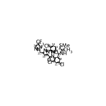 CSC[C@H](C)NC(=O)c1cc(Cl)cc(Cl)c1NC(=O)c1cc(Cn2ncc(C(F)(F)F)n2)nn1-c1ncccc1Cl